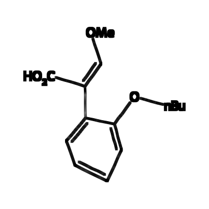 CCCCOc1ccccc1C(=COC)C(=O)O